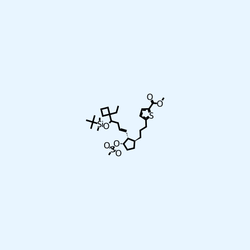 CCC1(C(C/C=C/[C@@H]2[C@@H](CCCc3ccc(C(=O)OC)s3)CC[C@@H]2OS(C)(=O)=O)O[Si](C)(C)C(C)(C)C)CCC1